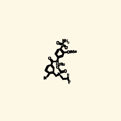 COc1cc(NC(=O)c2ccc(Br)c(CN(CC(F)F)C(=O)OC(C)(C)C)c2)ccc1S(N)(=O)=O